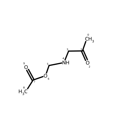 CC(=O)CNCOC(C)=O